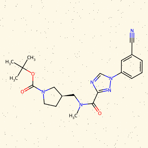 CN(C[C@H]1CCN(C(=O)OC(C)(C)C)C1)C(=O)c1ncn(-c2cccc(C#N)c2)n1